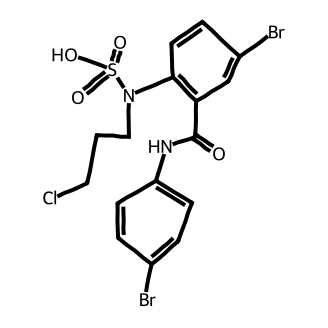 O=C(Nc1ccc(Br)cc1)c1cc(Br)ccc1N(CCCCl)S(=O)(=O)O